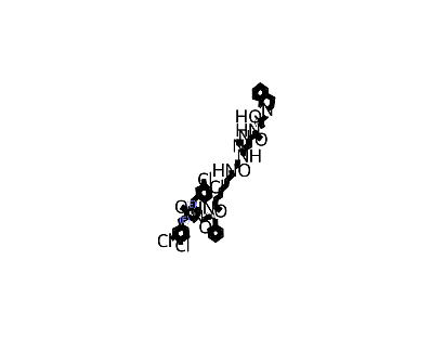 O=C(CNc1cc(C(=O)NC[C@@H](O)CN2CCc3ccccc3C2)ncn1)NCCCCCCC(=O)N[C@@H](Cc1ccccc1)C(=O)N1C/C(=C\c2ccc(Cl)c(Cl)c2)C(=O)/C(=C/c2ccc(Cl)c(Cl)c2)C1